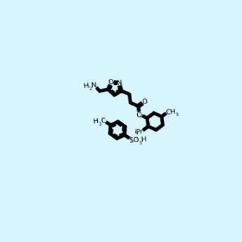 CC1CCC(C(C)C)C(OC(=O)CCc2cc(CN)on2)C1.Cc1ccc(S(=O)(=O)O)cc1